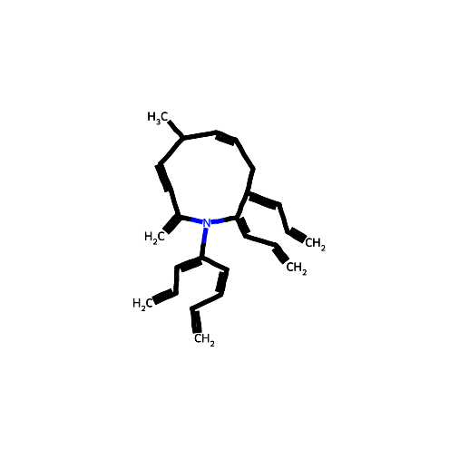 C=C/C=C\C(=C/C=C)N1C(=C)/C=C\C(C)/C=C\CC(=C/C=C)/C1=C\C=C